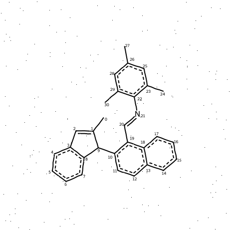 CC1=Cc2ccccc2C1c1ccc2ccccc2c1C=Nc1c(C)cc(C)cc1C